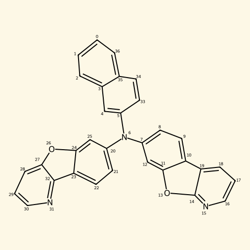 c1ccc2cc(N(c3ccc4c(c3)oc3ncccc34)c3ccc4c(c3)oc3cccnc34)ccc2c1